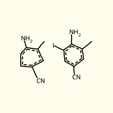 Cc1cc(C#N)cc(I)c1N.Cc1cc(C#N)ccc1N